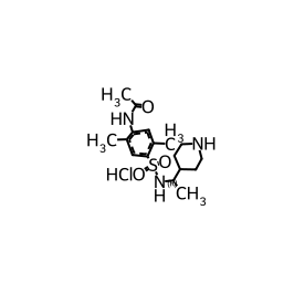 CC(=O)Nc1cc(C)c(S(=O)(=O)N[C@H](C)C2CCNCC2)cc1C.Cl